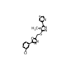 Cn1c(SCc2nnc(-c3cccc(Cl)c3)o2)nnc1-c1cscn1